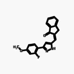 COc1ccc(-c2cc(C=C3Cc4ccccc4C3=O)[nH]n2)c(F)c1